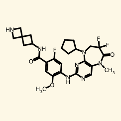 COc1cc(C(=O)NC2CC3(CNC3)C2)c(F)cc1Nc1ncc2c(n1)N(C1CCCC1)CC(F)(F)C(=O)N2C